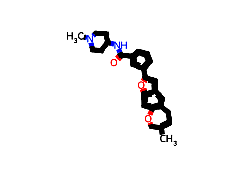 CC1=CCc2cc3cc(-c4cccc(C(=O)NC5CCN(C)CC5)c4)oc3cc2OC1